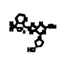 CC(C)(C)c1nc(N2CC[C@H](O)C2)c2nn(Cc3ncccc3C3(C(F)(F)F)N=N3)nc2n1